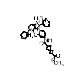 COC(=O)C1CC2(CC(C(=O)Nc3ccc(-n4c(-c5cccnc5N)nc5ccc(-c6ccccc6)nc54)c(C)c3)C2)C1